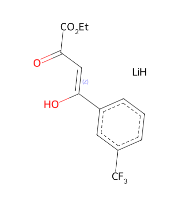 CCOC(=O)C(=O)/C=C(\O)c1cccc(C(F)(F)F)c1.[LiH]